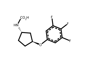 O=C(O)N[C@H]1CC[C@H](Oc2cc(F)c(F)c(F)c2)C1